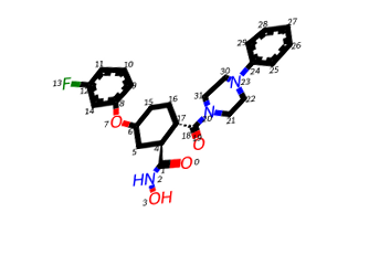 O=C(NO)[C@H]1CC(Oc2cccc(F)c2)CC[C@@H]1C(=O)N1CCN(c2ccccc2)CC1